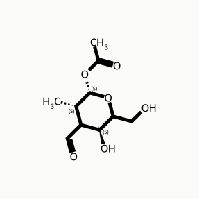 CC(=O)O[C@@H]1OC(CO)[C@@H](O)C(C=O)[C@@H]1C